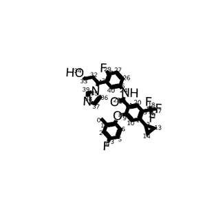 Cc1cc(F)ccc1Oc1cc(C2CC2)c(C(F)(F)F)cc1C(=O)Nc1ccc(F)c(C(CCO)n2ccnc2)c1